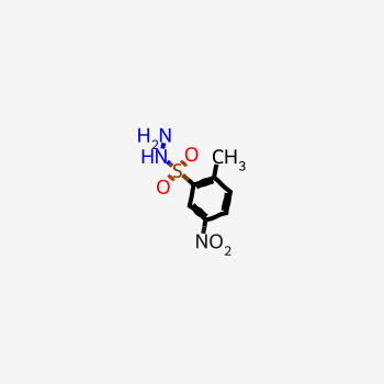 Cc1ccc([N+](=O)[O-])cc1S(=O)(=O)NN